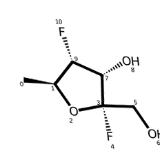 C[C@@H]1O[C@](F)(CO)[C@@H](O)[C@H]1F